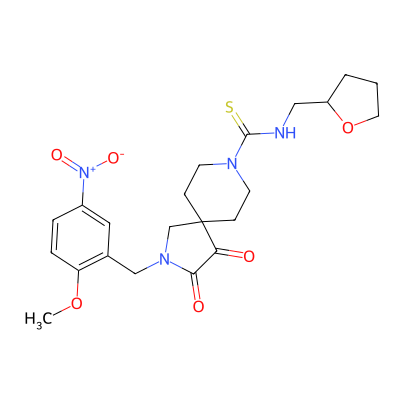 COc1ccc([N+](=O)[O-])cc1CN1CC2(CCN(C(=S)NCC3CCCO3)CC2)C(=O)C1=O